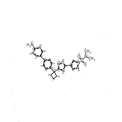 CN(C)S(=O)(=O)n1cc(-c2nc(C3(c4ccc(-c5cnc(N)nc5)cc4)CCC3)no2)cn1